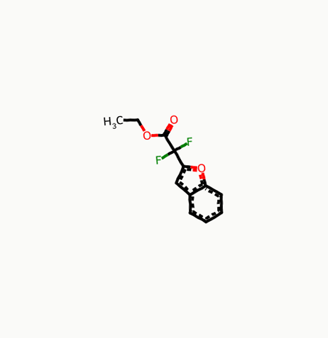 CCOC(=O)C(F)(F)c1cc2ccccc2o1